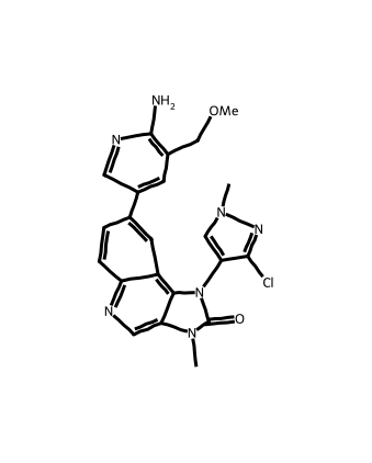 COCc1cc(-c2ccc3ncc4c(c3c2)n(-c2cn(C)nc2Cl)c(=O)n4C)cnc1N